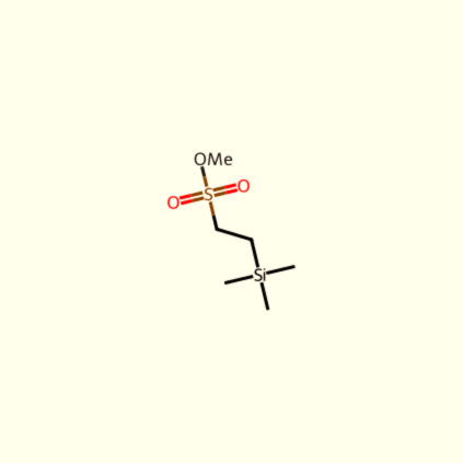 COS(=O)(=O)CC[Si](C)(C)C